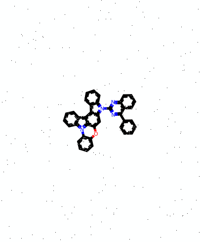 c1ccc(-c2nc(-n3c4ccccc4c4c5c6ccccc6n6c5c(cc43)Oc3ccccc3-6)nc3ccccc23)cc1